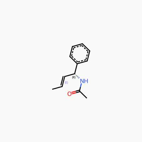 C/C=C/[C@@H](NC(C)=O)c1ccccc1